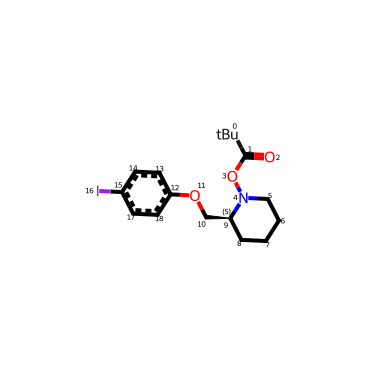 CC(C)(C)C(=O)ON1CCCC[C@H]1COc1ccc(I)cc1